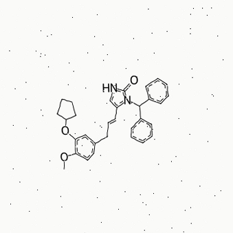 COc1ccc(CC=Cc2c[nH]c(=O)n2C(c2ccccc2)c2ccccc2)cc1OC1CCCC1